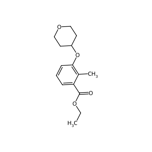 CCOC(=O)c1cccc(OC2CCOCC2)c1C